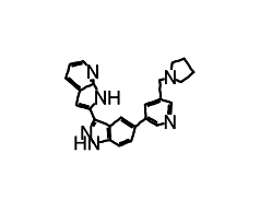 c1cnc2[nH]c(-c3n[nH]c4ccc(-c5cncc(CN6CCCC6)c5)cc34)cc2c1